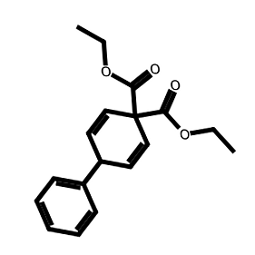 CCOC(=O)C1(C(=O)OCC)C=CC(c2ccccc2)C=C1